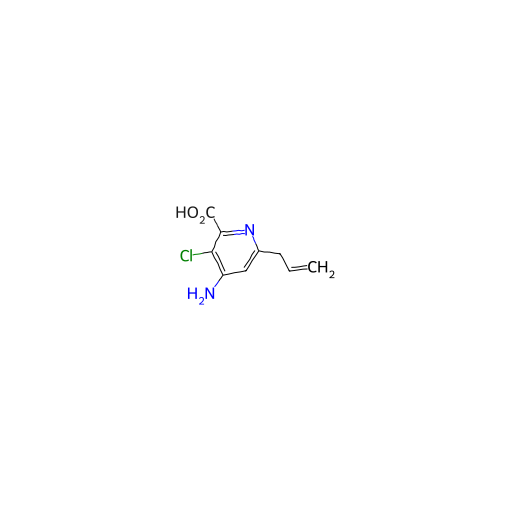 C=CCc1cc(N)c(Cl)c(C(=O)O)n1